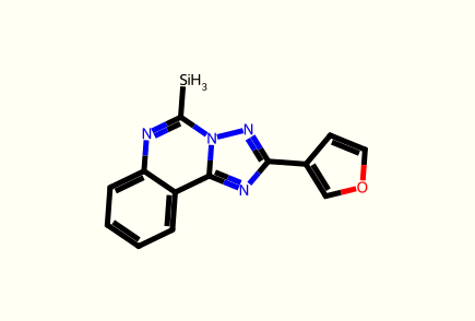 [SiH3]c1nc2ccccc2c2nc(-c3ccoc3)nn12